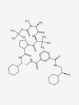 C[C@H](CNC(=O)c1cccc(C(=O)NC[C@@H](NC(=O)C2CCCN2C(=O)[C@@H](NC(=O)[C@H](C)N(C)C(=O)OC(C)(C)C)C(C)(C)C)C2CCCCC2)c1)C1CCCCC1